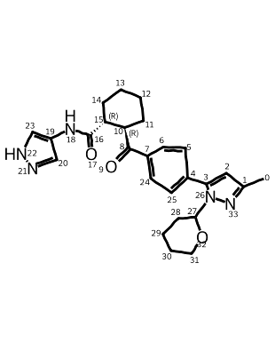 Cc1cc(-c2ccc(C(=O)[C@@H]3CCCC[C@H]3C(=O)Nc3cn[nH]c3)cc2)n(C2CCCCO2)n1